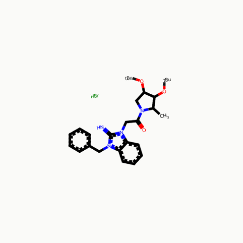 Br.CC1C(OC(C)(C)C)C(OC(C)(C)C)CN1C(=O)Cn1c(=N)n(Cc2ccccc2)c2ccccc21